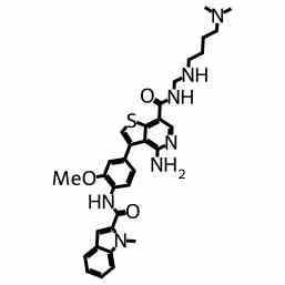 COc1cc(-c2csc3c(C(=O)NCNCCCCN(C)C)cnc(N)c23)ccc1NC(=O)c1cc2ccccc2n1C